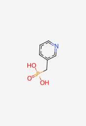 O=P(O)(O)Cc1cccnc1